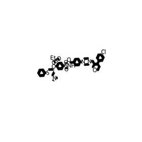 CCS(=O)(=O)c1cc(S(=O)(=O)NC(=O)c2ccc(N3CCN(CC4=C(c5ccc(Cl)cc5)CCOC4)CC3)cc2)ccc1O[C@H](CCN(C)C)CSc1ccccc1